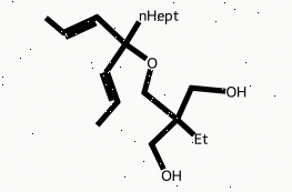 CC=CC(C=CC)(CCCCCCC)OCC(CC)(CO)CO